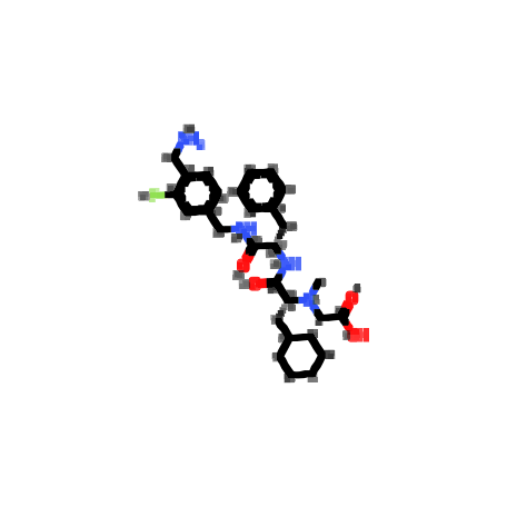 CN(CC(=O)O)[C@H](CC1CCCCC1)C(=O)N[C@@H](Cc1ccccc1)C(=O)NCc1ccc(CN)c(F)c1